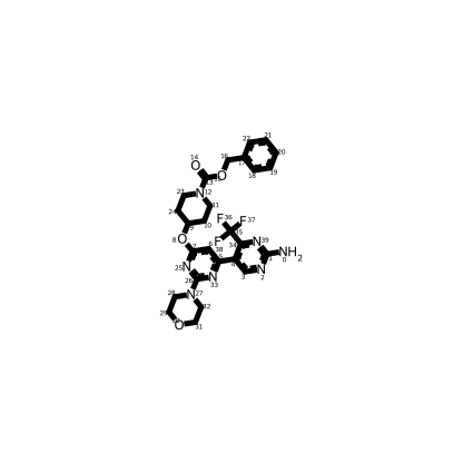 Nc1ncc(-c2cc(OC3CCN(C(=O)OCc4ccccc4)CC3)nc(N3CCOCC3)n2)c(C(F)(F)F)n1